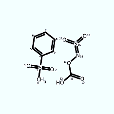 CS(=O)(=O)c1ccccc1.O=C(O)ON=S(=O)=O